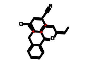 C=CC(/C=C\C(Cl)=C/C)C(=C)c1ccccc1Cc1ccc(C#N)cc1Cl